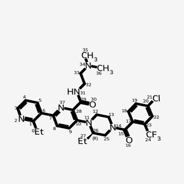 CCc1ncccc1-c1ccc(N2CCN(C(=O)c3ccc(Cl)cc3C(F)(F)F)C[C@H]2CC)c(C(=O)NCCN(C)C)n1